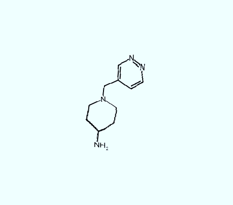 NC1CCN(Cc2ccnnc2)CC1